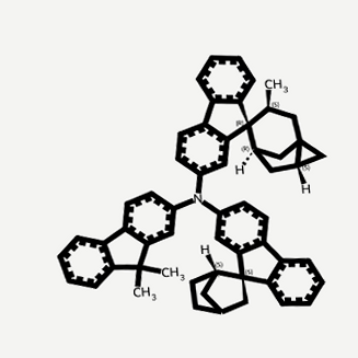 C[C@H]1CC23C[C@@H]2C[C@H](C3)[C@@]12c1ccccc1-c1ccc(N(c3ccc4c(c3)C(C)(C)c3ccccc3-4)c3ccc4c(c3)[C@]3(CC5CC[C@H]3C5)c3ccccc3-4)cc12